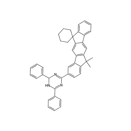 CC1(C)c2ccc(C3=NC(c4ccccc4)NC(c4ccccc4)=N3)cc2-c2cc3c(cc21)-c1ccccc1C31CCCCC1